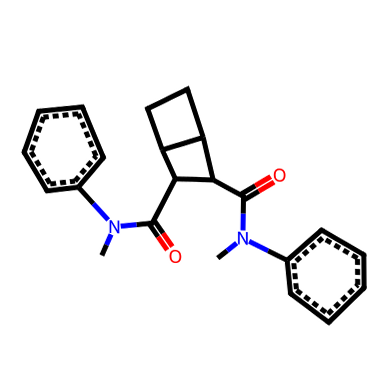 CN(C(=O)C1C2CCC2C1C(=O)N(C)c1ccccc1)c1ccccc1